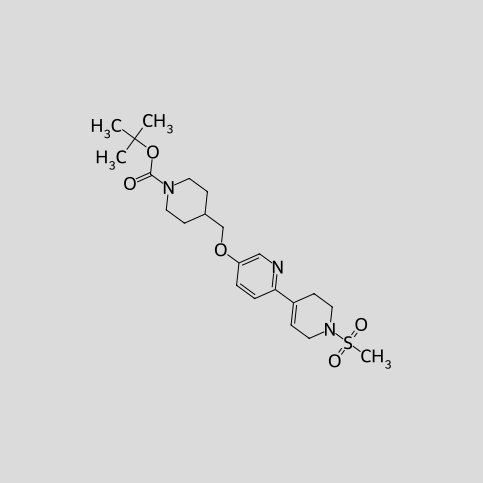 CC(C)(C)OC(=O)N1CCC(COc2ccc(C3=CCN(S(C)(=O)=O)CC3)nc2)CC1